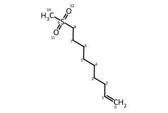 C=CCCCCCCCS(C)(=O)=O